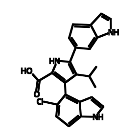 CC(C)c1c(-c2ccc3cc[nH]c3c2)[nH]c(C(=O)O)c1-c1c(Cl)ccc2[nH]ccc12